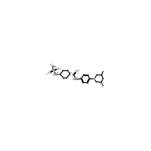 CC1C[C@@H](C)CN(c2ccc(NC(=O)[C@H]3CC[C@H](NS(=O)(=O)C(C)(C)C)CC3)cc2)C1